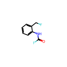 O=C(F)Nc1ccccc1CF